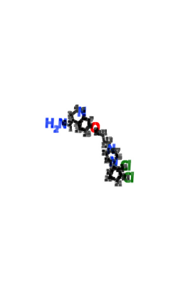 NCC1CC=Nc2cc(OCCCCN3CCN(c4cccc(Cl)c4Cl)CC3)ccc21